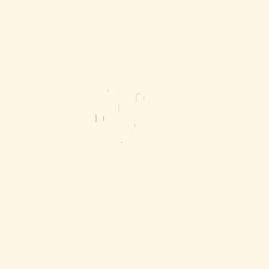 CCP(=O)(CC)OC(C)(c1ccccc1)C1CC1